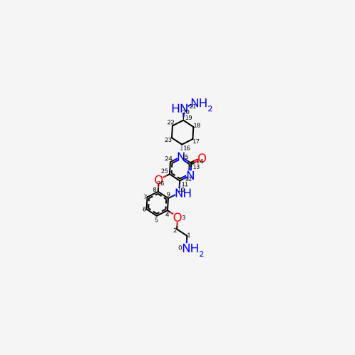 NCCOc1cccc2c1Nc1nc(=O)n([C@H]3CC[C@H](NN)CC3)cc1O2